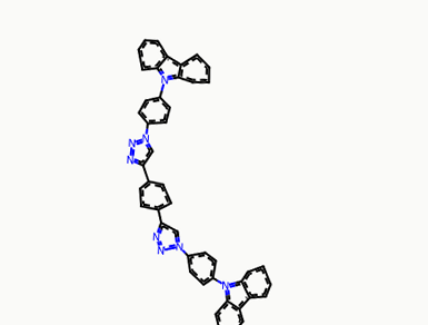 c1ccc2c(c1)c1ccccc1n2-c1ccc(-n2cc(-c3ccc(-c4cn(-c5ccc(-n6c7ccccc7c7ccccc76)cc5)nn4)cc3)nn2)cc1